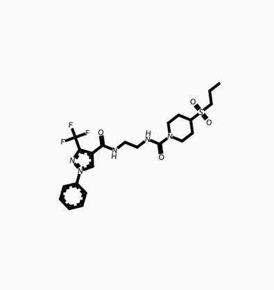 CCCS(=O)(=O)C1CCN(C(=O)NCCNC(=O)c2cn(-c3ccccc3)nc2C(F)(F)F)CC1